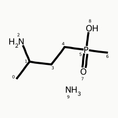 CC(N)CCP(C)(=O)O.N